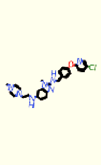 CN1CCN(CCNc2ccc3nc(NCc4ccc(Oc5ccc(Cl)cn5)cc4)n(C)c3c2)CC1